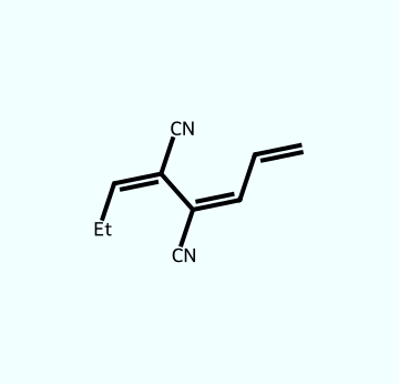 C=C/C=C(C#N)\C(C#N)=C/CC